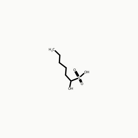 CCCCCC(O)S(=O)(=O)O